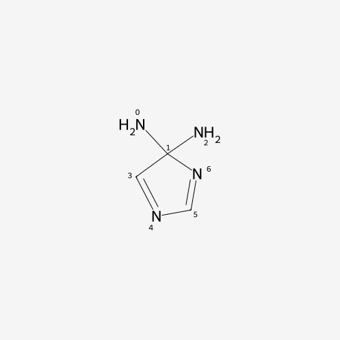 NC1(N)C=NC=N1